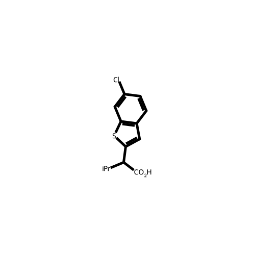 CC(C)C(C(=O)O)c1cc2ccc(Cl)cc2s1